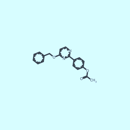 CC(=O)Oc1ccc(-c2nccc(OCc3ccccc3)n2)cc1